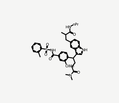 CCCNC(=O)C(C)Cc1ccc2[nH]cc(C(CCC(=O)N(C)C)c3ccc(C(=O)NS(=O)(=O)c4ccccc4C)cc3OC)c2c1